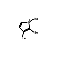 CCC(C)C1=C(C(C)CC)[SiH](C(C)CC)C=C1